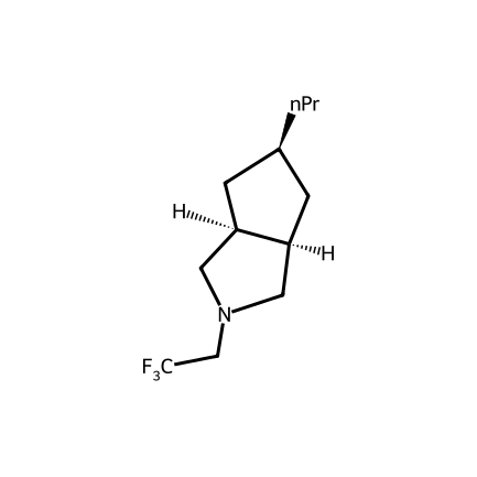 CCC[C@@H]1C[C@@H]2CN(CC(F)(F)F)C[C@@H]2C1